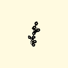 c1ccc(-c2cccc(-n3c4ccccc4c4cc(-c5ccc6c7c8cccc9c8c(cc7n(-c7ccccc7)c6c5)Oc5ccccc5-9)ccc43)c2)cc1